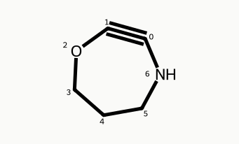 C1#COCCCN1